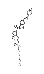 CCCCCCCCOC(=O)CC1COc2ccc(C(=O)Nc3ccc(/C=N/N4CCN(C)CC4)cc3)cc2C1